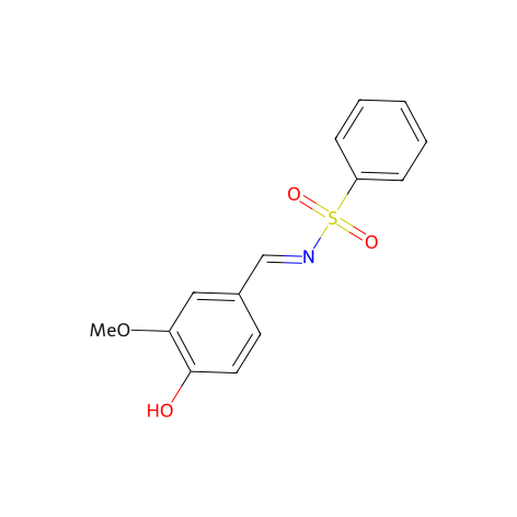 COc1cc(/C=N/S(=O)(=O)c2ccccc2)ccc1O